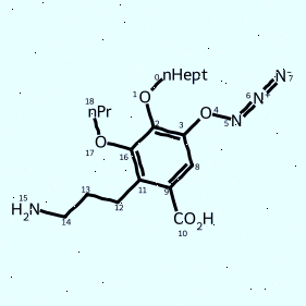 CCCCCCCOc1c(ON=[N+]=[N-])cc(C(=O)O)c(CCCN)c1OCCC